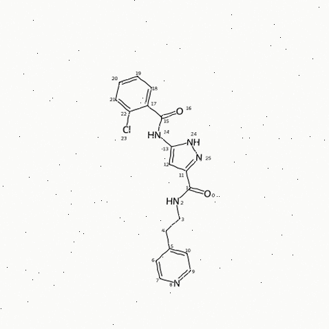 O=C(NCCc1ccncc1)c1cc(NC(=O)c2ccccc2Cl)[nH]n1